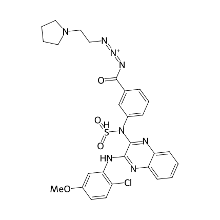 COc1ccc(Cl)c(Nc2nc3ccccc3nc2N(c2cccc(C(=O)N=[N+]=NCCN3CCCC3)c2)[SH](=O)=O)c1